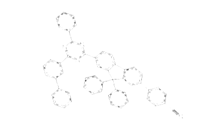 N#Cc1ccc(-c2ccc3c(c2)C(c2ccccc2)(c2ccccc2)c2cc(-c4nc(-c5ccccc5)nc(-c5cccc(-c6ccccc6)c5)n4)ccc2-3)cc1